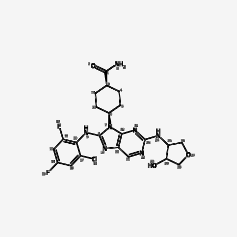 NC(=O)[C@H]1CC[C@@H](n2c(Nc3c(F)cc(F)cc3Cl)nc3cnc(NC4COCC4O)nc32)CC1